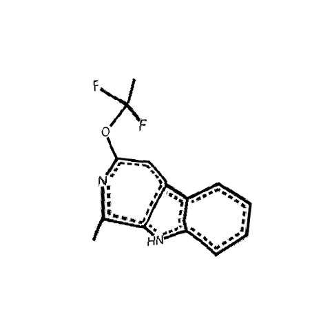 Cc1nc(OC(C)(F)F)cc2c1[nH]c1ccccc12